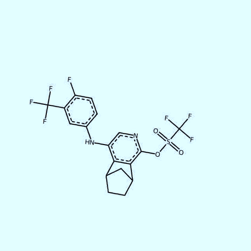 O=S(=O)(Oc1ncc(Nc2ccc(F)c(C(F)(F)F)c2)c2c1C1CCC2C1)C(F)(F)F